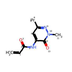 C=CC(=O)Nc1cc(C(C)C)nn(C)c1=O